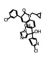 Cn1cncc1C(O)(c1ccc(Cl)nc1)c1ccc2c(c1)cc(-c1cccc(Cl)c1)c(=O)n2CC1CC1